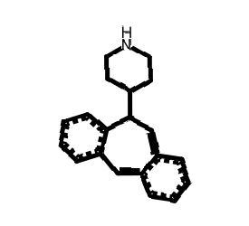 C1=c2ccccc2=CC(C2CCNCC2)c2ccccc21